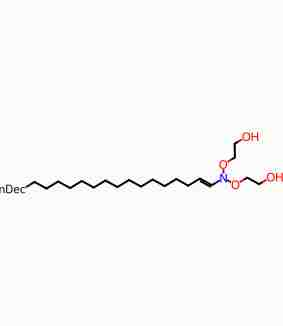 CCCCCCCCCCCCCCCCCCCCCCCCC=CN(OCCO)OCCO